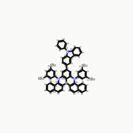 CC(C)(C)c1cc(N2c3cc(-c4ccc5c(c4)c4ccccc4n5-c4ccccc4)cc4c3B(c3ccc5ccccc5c32)c2ccc3ccccc3c2N4c2cc(C(C)(C)C)cc(C(C)(C)C)c2)cc(C(C)(C)C)c1